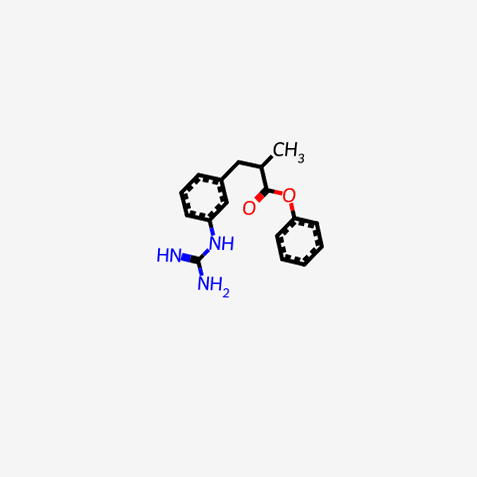 CC(Cc1cccc(NC(=N)N)c1)C(=O)Oc1ccccc1